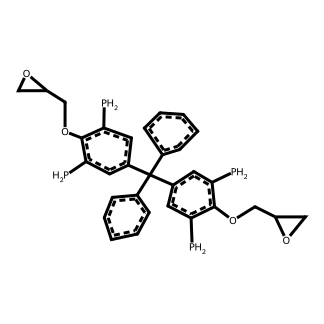 Pc1cc(C(c2ccccc2)(c2ccccc2)c2cc(P)c(OCC3CO3)c(P)c2)cc(P)c1OCC1CO1